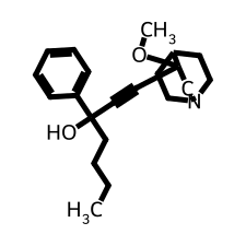 CCCCC(O)(C#CC1(OC)CN2CCC1CC2)c1ccccc1